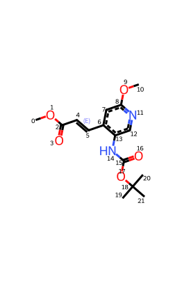 COC(=O)/C=C/c1cc(OC)ncc1NC(=O)OC(C)(C)C